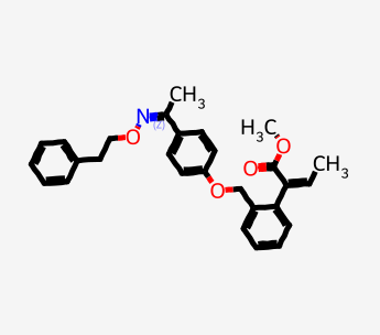 CC=C(C(=O)OC)c1ccccc1COc1ccc(/C(C)=N\OCCc2ccccc2)cc1